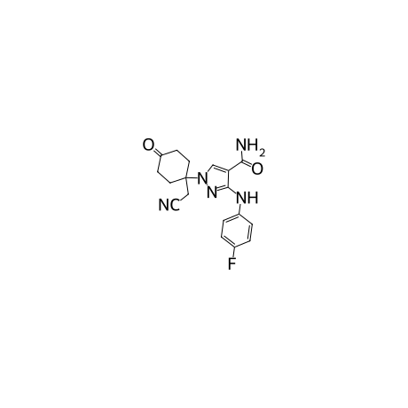 N#CCC1(n2cc(C(N)=O)c(Nc3ccc(F)cc3)n2)CCC(=O)CC1